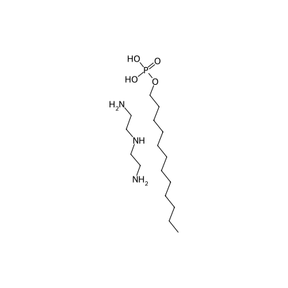 CCCCCCCCCCCCOP(=O)(O)O.NCCNCCN